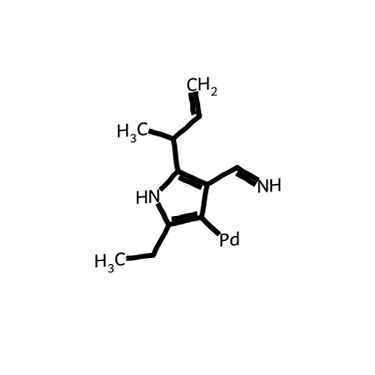 C=CC(C)c1[nH]c(CC)[c]([Pd])c1C=N